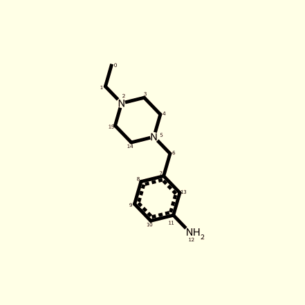 CCN1CCN(Cc2cccc(N)c2)CC1